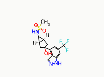 CS(=O)(=O)NC1[C@H]2CC(O)(c3cc(C(F)(F)F)cc4[nH]ncc34)C[C@@H]12